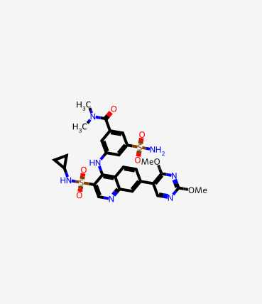 COc1ncc(-c2ccc3c(Nc4cc(C(=O)N(C)C)cc(S(N)(=O)=O)c4)c(S(=O)(=O)NC4CC4)cnc3c2)c(OC)n1